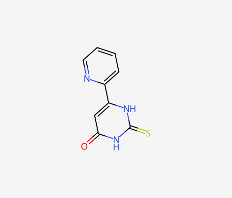 O=c1cc(-c2ccccn2)[nH]c(=S)[nH]1